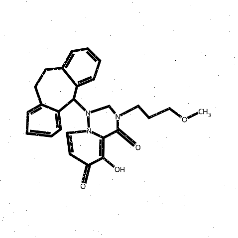 COCCCN1CN(C2c3ccccc3CCc3ccccc32)n2ccc(=O)c(O)c2C1=O